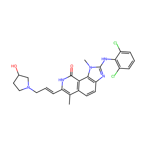 Cc1c(C=CCN2CCC(O)C2)[nH]c(=O)c2c1ccc1nc(Nc3c(Cl)cccc3Cl)n(C)c12